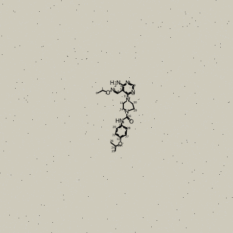 CCON=Cc1c(N)ncnc1N1CCN(C(=O)Nc2ccc(OC(C)C)cc2)CC1